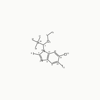 CCOC(n1c(I)nc2cc(I)c(Cl)cc21)[Si](C)(C)C